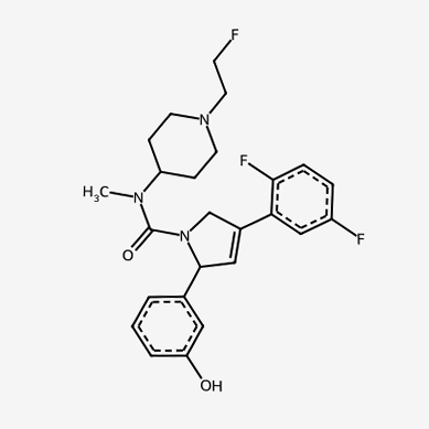 CN(C(=O)N1CC(c2cc(F)ccc2F)=CC1c1cccc(O)c1)C1CCN(CCF)CC1